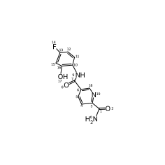 NC(=O)c1ccc(C(=O)Nc2ccc(F)cc2O)cn1